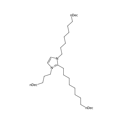 CCCCCCCCCCCCCCCCCCc1n(CCCCCCCCCCCCCCCCC)cc[n+]1CCCCCCCCCCCCC